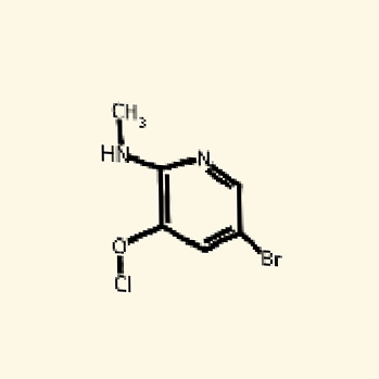 CNc1ncc(Br)cc1OCl